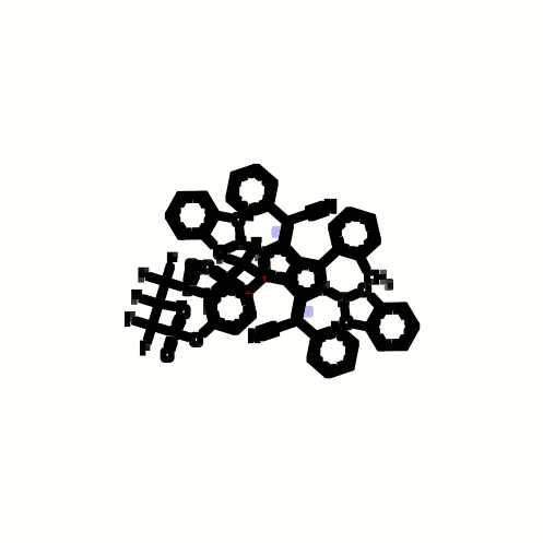 Cc1ccccc1-c1c2/c(=C(\C#N)c3ccccn3)n(B3Oc4ccccc4O3)c(-c3ccc(OS(=O)(=O)C(F)(F)C(F)(F)C(F)(F)S(=O)(=O)NS(=O)(=O)C(F)(F)F)cc3)c2/c(=C(\C#N)c2ccccn2)n1B1Oc2ccccc2O1